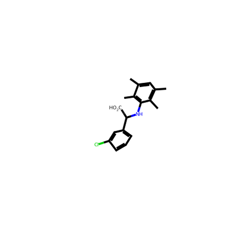 Cc1cc(C)c(C)c(NC(C(=O)O)c2cccc(Cl)c2)c1C